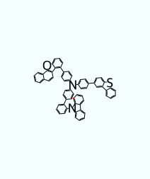 c1ccc(-n2c3ccccc3c3ccccc32)c(-c2ccc(N(c3ccc(-c4ccc5sc6ccccc6c5c4)cc3)c3ccc(-c4cccc5oc6c7ccccc7ccc6c45)cc3)cc2)c1